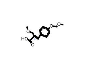 COCOc1ccc(/C=C(\COC)C(=O)O)cc1